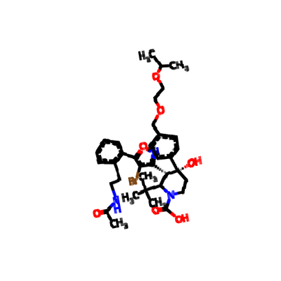 CC(=O)NCCc1ccccc1-c1onc([C@H]2C(C(C)(C)C)N(C(=O)O)CC[C@]2(O)c2ccc(COCCOC(C)C)cc2)c1Br